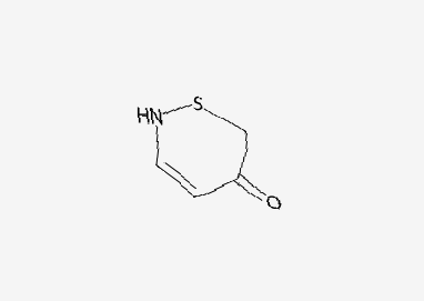 O=C1C=CNSC1